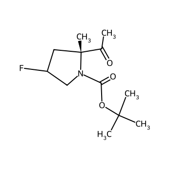 CC(=O)[C@@]1(C)CC(F)CN1C(=O)OC(C)(C)C